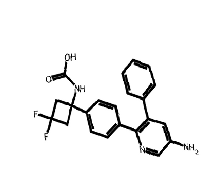 Nc1cnc(-c2ccc(C3(NC(=O)O)CC(F)(F)C3)cc2)c(-c2ccccc2)c1